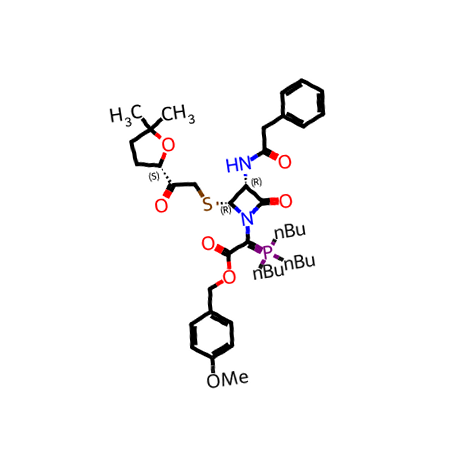 CCCCP(CCCC)(CCCC)=C(C(=O)OCc1ccc(OC)cc1)N1C(=O)[C@@H](NC(=O)Cc2ccccc2)[C@H]1SCC(=O)[C@@H]1CCC(C)(C)O1